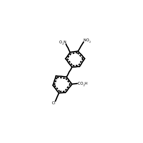 O=C(O)c1cc(Cl)ccc1-c1ccc([N+](=O)[O-])c([N+](=O)[O-])c1